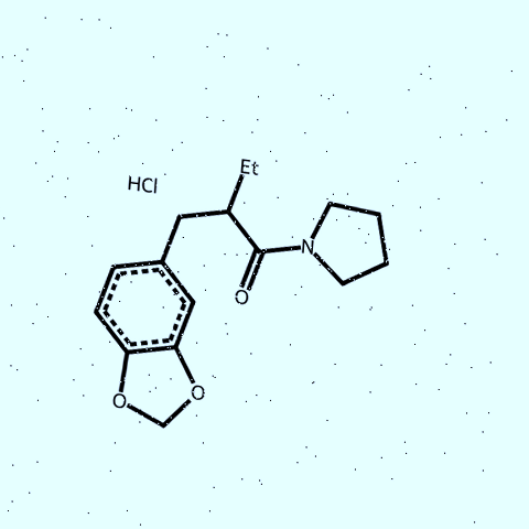 CCC(Cc1ccc2c(c1)OCO2)C(=O)N1CCCC1.Cl